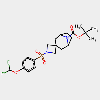 CC(C)(C)OC(=O)N1C2CCC1CC1(C2)CN(S(=O)(=O)c2ccc(OC(F)F)cc2)C1